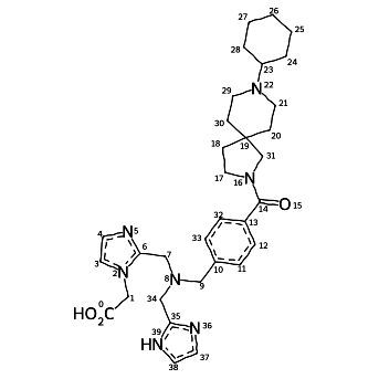 O=C(O)Cn1ccnc1CN(Cc1ccc(C(=O)N2CCC3(CCN(C4CCCCC4)CC3)C2)cc1)Cc1ncc[nH]1